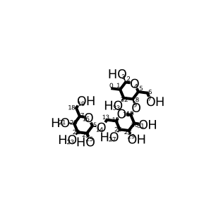 CC1[C@H](O)OC(CO)[C@@H](O[C@@H]2OC(CO[C@H]3OC(CO)[C@@H](O)[C@H](O)C3O)[C@@H](O)[C@H](O)C2O)[C@@H]1O